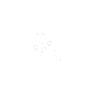 COC(=O)CC[C@@H]1N=C(c2ccccc2F)c2cc([N+](=O)[O-])ccc2-n2c(SCN3CCN(C4=CCCC=C4)CC3)nnc21